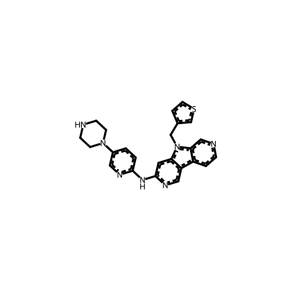 c1cc2c3cnc(Nc4ccc(N5CCNCC5)cn4)cc3n(Cc3ccsc3)c2cn1